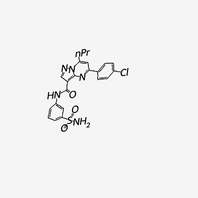 CCCc1cc(-c2ccc(Cl)cc2)nc2c(C(=O)Nc3cccc(S(N)(=O)=O)c3)cnn12